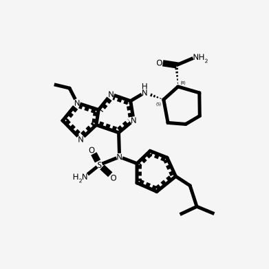 CCn1cnc2c(N(c3ccc(CC(C)C)cc3)S(N)(=O)=O)nc(N[C@H]3CCCC[C@H]3C(N)=O)nc21